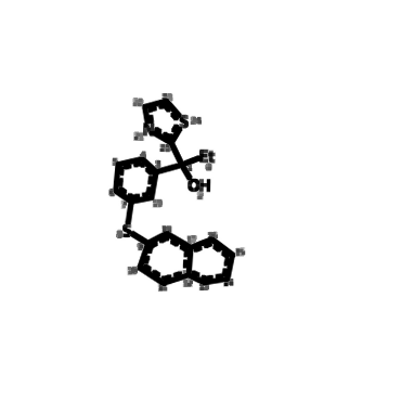 CCC(O)(c1cccc(Sc2ccc3ccccc3c2)c1)c1nccs1